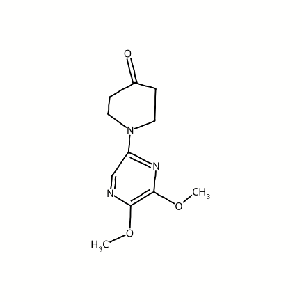 COc1ncc(N2CCC(=O)CC2)nc1OC